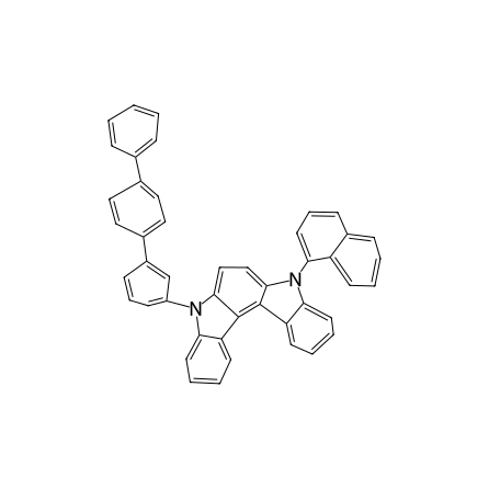 c1ccc(-c2ccc(-c3cccc(-n4c5ccccc5c5c6c7ccccc7n(-c7cccc8ccccc78)c6ccc54)c3)cc2)cc1